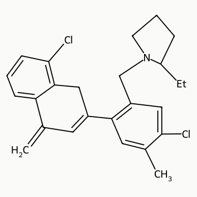 C=C1C=C(c2cc(C)c(Cl)cc2CN2CCCC2CC)Cc2c(Cl)cccc21